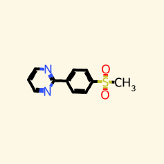 CS(=O)(=O)c1ccc(-c2ncccn2)cc1